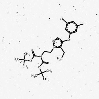 CCc1c(Oc2cc(Cl)cc(Cl)c2)cnn1CCN(C(=O)OC(C)(C)C)C(=O)OC(C)(C)C